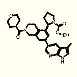 Cc1c[nH]c2ncc(-c3cc4c(c(C5CCCN5C(=O)OC(C)(C)C)c3)CCN(C(=O)C3CCOCC3)C4)cc12